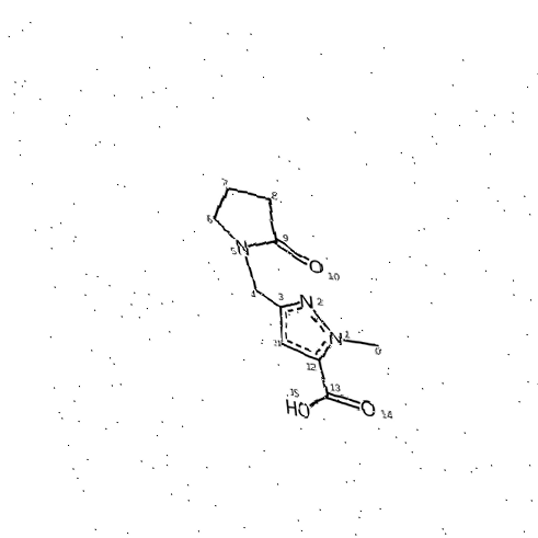 Cn1nc(CN2CCCC2=O)cc1C(=O)O